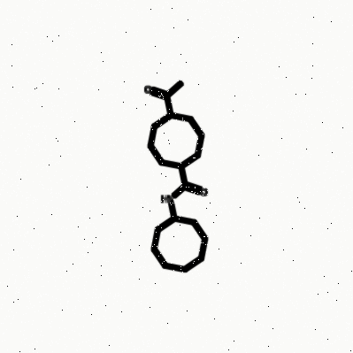 CC(=O)C1CCCC(C(=O)NC2CCCCCCC2)CCC1